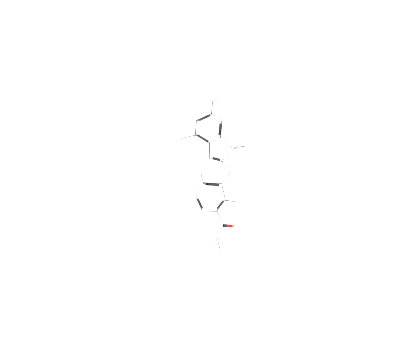 COC(=O)c1ccc(Cl)c(Cc2cc3c(Cl)cc(Br)cc3n2C)c1Cl